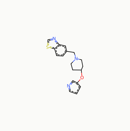 c1cncc(OC2CCN(Cc3ccc4scnc4c3)CC2)c1